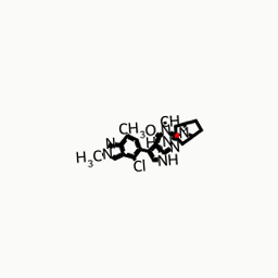 Cc1cc(-c2c[nH]c3nc(N4C5CCC4CC(N)C5)n(C)c(=O)c23)c(Cl)c2cn(C)nc12